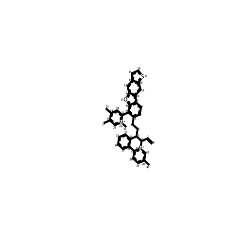 C=CC1C(CCc2ccc3c(oc4cc5ccsc5cc43)c2-c2cc(C)c(C)c[n+]2C)c2ccccc2-c2ccc(C)c[n+]21